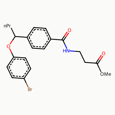 CCCC(Oc1ccc(Br)cc1)c1ccc(C(=O)NCCC(=O)OC)cc1